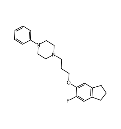 Fc1cc2c(cc1OCCCN1CCN(c3ccccc3)CC1)CCC2